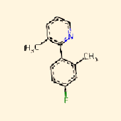 Cc1cc(F)ccc1-c1ncccc1C